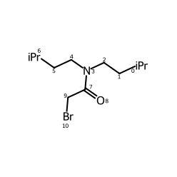 CC(C)CCN(CCC(C)C)C(=O)CBr